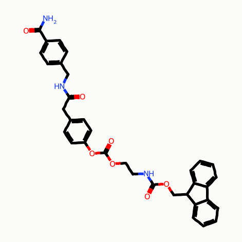 NC(=O)c1ccc(CNC(=O)Cc2ccc(OC(=O)OCCNC(=O)OCC3c4ccccc4-c4ccccc43)cc2)cc1